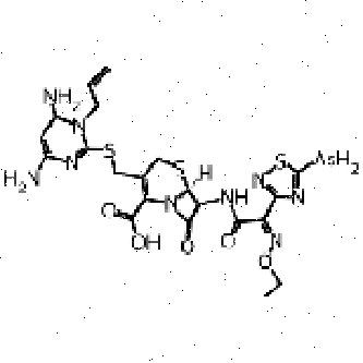 C=CCN1C(SCC2=C(C(=O)O)N3C(=O)C(NC(=O)/C(=N\OCC)c4nsc([AsH2])n4)[C@@H]3SC2)=NC(N)=CC1N